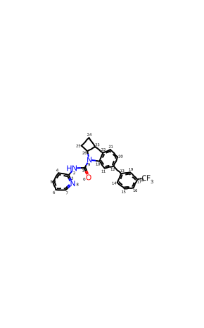 O=C(Nc1ccccn1)N1c2cc(-c3cccc(C(F)(F)F)c3)ccc2C2CCC21